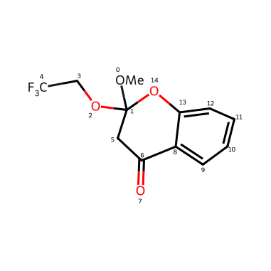 COC1(OCC(F)(F)F)CC(=O)c2ccccc2O1